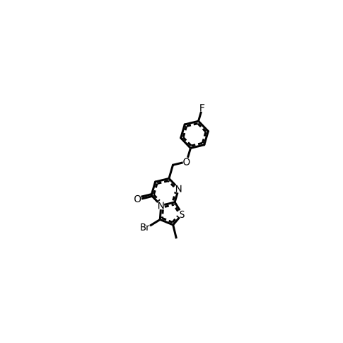 Cc1sc2nc(COc3ccc(F)cc3)cc(=O)n2c1Br